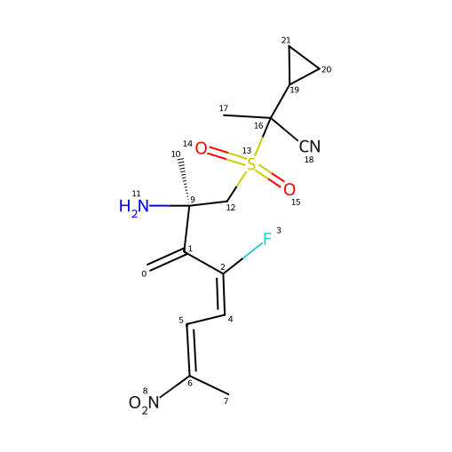 C=C(/C(F)=C\C=C(/C)[N+](=O)[O-])[C@@](C)(N)CS(=O)(=O)C(C)(C#N)C1CC1